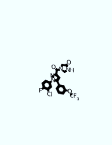 O=C1CN(C(=O)c2cc(-c3cccc(OC(F)(F)F)c3)n(-c3ccc(F)c(Cl)c3)n2)CN1